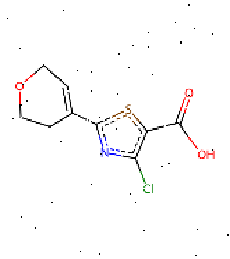 O=C(O)c1sc(C2=CCOCC2)nc1Cl